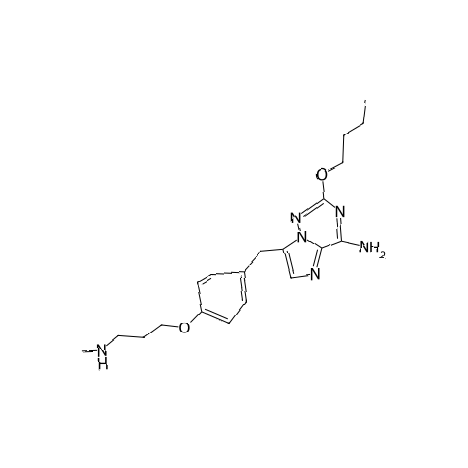 CCCCOc1nc(N)c2ncc(Cc3ccc(OCCCNC)cc3)n2n1